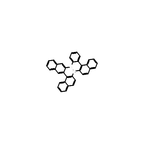 c1ccc2c(c1)B1c3cc4ccccc4cc3-c3c(ccc4ccccc34)N1c1ccc3ccccc3c1-2